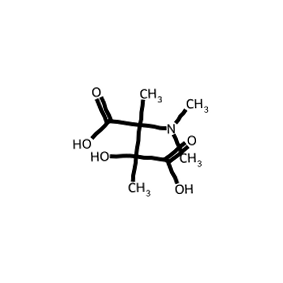 CN(C)C(C)(C(=O)O)C(C)(O)C(=O)O